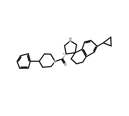 O=C([C@@H]1CNCC12CCCc1cc(C3CC3)ccc12)N1CCC(c2ccccc2)CC1